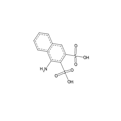 Nc1c(S(=O)(=O)O)c(S(=O)(=O)O)cc2ccccc12